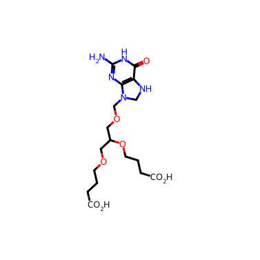 Nc1nc2c(c(=O)[nH]1)NCN2COCC(COCCCC(=O)O)OCCCC(=O)O